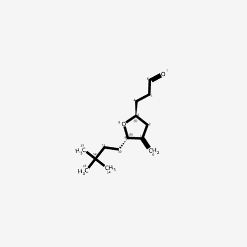 C=C1C[C@H](CCC=O)O[C@H]1CCC(C)(C)C